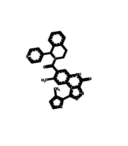 Cc1cc2c(cc1C(=O)N1CCc3ccccc3C1c1ccncc1)[nH]c(=O)c1nnc(-c3sccc3C)n12